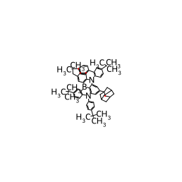 CC1(C)Cc2cc3c(cc2C1)N(c1ccc(C(C)(C)C)cc1-c1ccccc1)c1cc(C24CC5CC(CC(C5)C2)C4)cc2c1B3c1cc(C(C)(C)C)ccc1N2c1ccc(C(C)(C)C)cc1